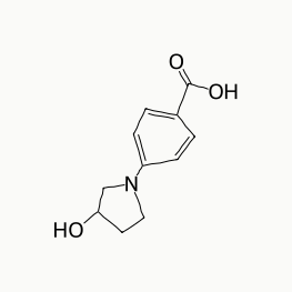 O=C(O)c1ccc(N2CCC(O)C2)cc1